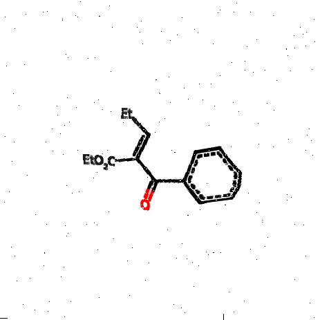 CCC=C(C(=O)OCC)C(=O)c1ccccc1